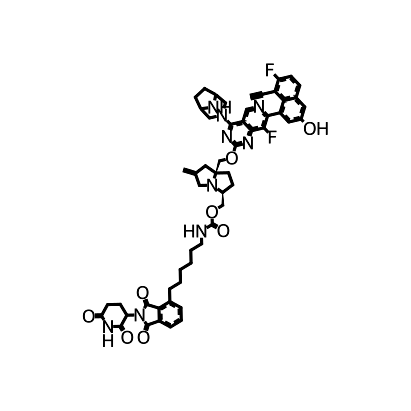 C#Cc1c(F)ccc2cc(O)cc(-c3ncc4c(N5CC6CCC(C5)N6)nc(OC[C@@]56CC[C@@H](COC(=O)NCCCCCCc7cccc8c7C(=O)N(C7CCC(=O)NC7=O)C8=O)N5CC(=C)C6)nc4c3F)c12